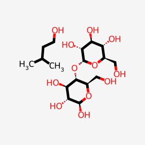 CC(C)CCO.OC[C@H]1O[C@H](O[C@H]2[C@H](O)[C@@H](O)[C@H](O)O[C@@H]2CO)[C@H](O)[C@@H](O)[C@@H]1O